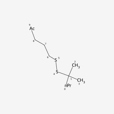 CCCC(C)(C)SSCCCC(C)=O